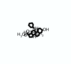 COC(=O)C1CC[C@H]2[C@@H]3CCC4CC(O)CC[C@]4(C)[C@@H]3C(NC3CCCCC3)C[C@]12C